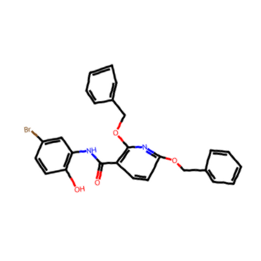 O=C(Nc1cc(Br)ccc1O)c1ccc(OCc2ccccc2)nc1OCc1ccccc1